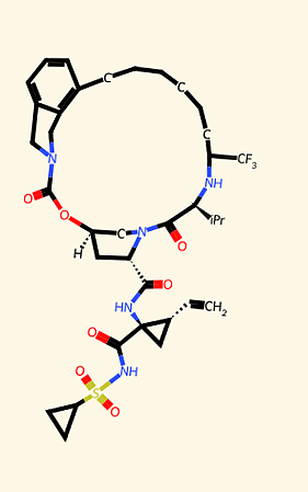 C=C[C@@H]1C[C@]1(NC(=O)[C@@H]1C[C@@H]2CN1C(=O)[C@H](C(C)C)NC(C(F)(F)F)CCCCCCc1cccc3c1CN(C3)C(=O)O2)C(=O)NS(=O)(=O)C1CC1